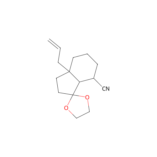 C=CCC12CCCC(C#N)C1C1(CC2)OCCO1